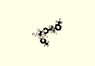 CC(C)(Oc1ccc(C(F)(F)F)cn1)C(=O)N1CCC(C(C)(C)S(=O)(=O)c2cccc(C(F)(F)F)c2)CC1